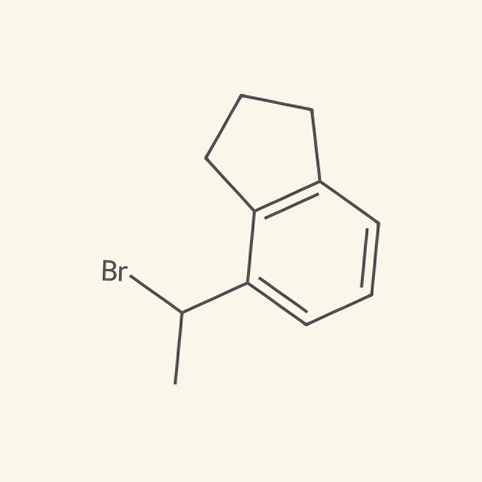 CC(Br)c1cccc2c1CCC2